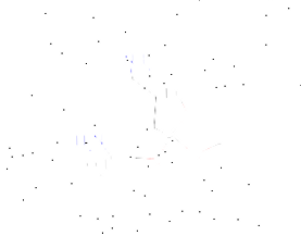 CCOC(N)=O.CCO[Si](CCCN)(OCC)OCC